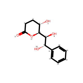 O=C1CC[C@H](O)[C@@H]([C@@H](O)[C@@H](O)c2ccccc2)O1